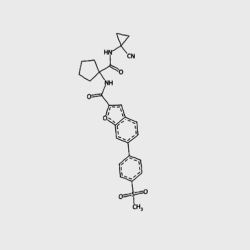 CS(=O)(=O)c1ccc(-c2ccc3cc(C(=O)NC4(C(=O)NC5(C#N)CC5)CCCC4)oc3c2)cc1